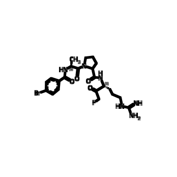 C[C@H](NC(=O)c1ccc(Br)cc1)C(=O)N1CCCC1C(=O)N[C@H](CCCNC(=N)N)C(=O)CF